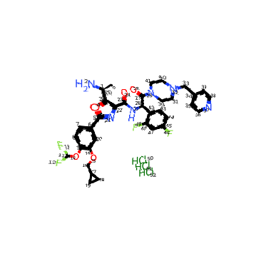 C[C@H](N)c1oc(-c2ccc(OC(F)F)c(OCC3CC3)c2)nc1C(=O)NC(C(=O)N1CCN(Cc2ccncc2)CC1)c1ccc(F)cc1F.Cl.Cl.Cl